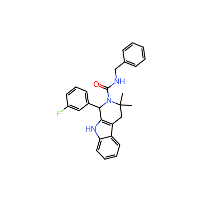 CC1(C)Cc2c([nH]c3ccccc23)C(c2cccc(F)c2)N1C(=O)NCc1ccccc1